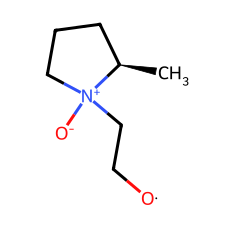 C[C@@H]1CCC[N+]1([O-])CC[O]